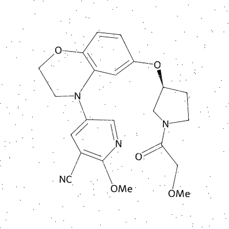 COCC(=O)N1CC[C@H](Oc2ccc3c(c2)N(c2cnc(OC)c(C#N)c2)CCO3)C1